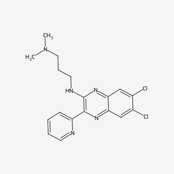 CN(C)CCCNc1nc2cc(Cl)c(Cl)cc2nc1-c1ccccn1